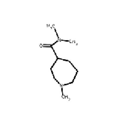 CN1CCCC(C(=O)N(C)C)CC1